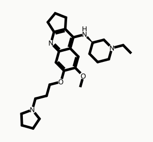 CCN1CCC[C@@H](Nc2c3c(nc4cc(OCCCN5CCCC5)c(OC)cc24)CCC3)C1